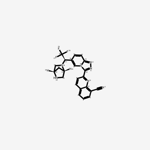 N#Cc1cccc2ccc(-c3nnc4ccc([C@@H](N5C[C@@H]6C[C@H]5CN6)C(F)(F)F)cn34)nc12